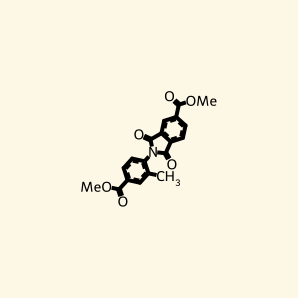 COC(=O)c1ccc(N2C(=O)c3ccc(C(=O)OC)cc3C2=O)c(C)c1